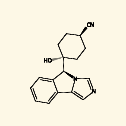 N#C[C@H]1CC[C@@](O)([C@@H]2c3ccccc3-c3cncn32)CC1